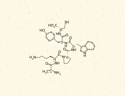 C[C@H](N)C(=O)N[C@@H](CCCCN)C(=O)N1CCC[C@H]1C(=O)N[C@@H](Cc1c[nH]c2ccccc12)C(=O)N[C@@H](Cc1ccc(O)cc1)C(=O)N[C@@H](CS)C(=O)O